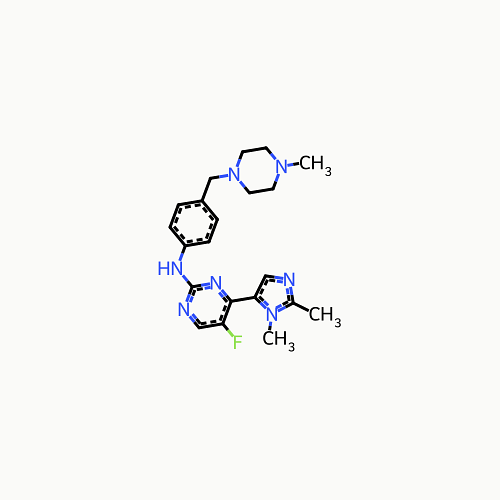 Cc1ncc(-c2nc(Nc3ccc(CN4CCN(C)CC4)cc3)ncc2F)n1C